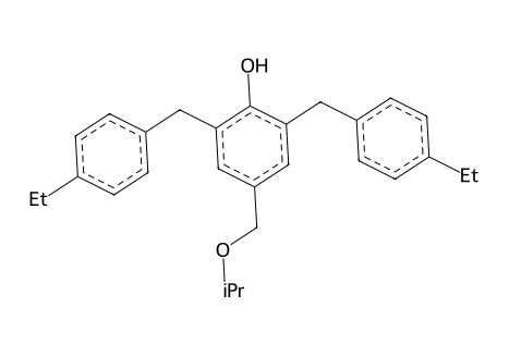 CCc1ccc(Cc2cc(COC(C)C)cc(Cc3ccc(CC)cc3)c2O)cc1